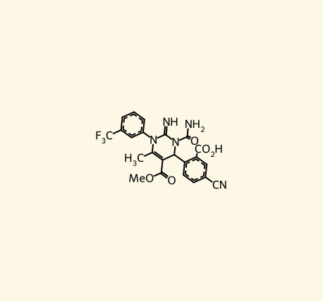 COC(=O)C1=C(C)N(c2cccc(C(F)(F)F)c2)C(=N)N(C(N)=O)C1c1ccc(C#N)cc1C(=O)O